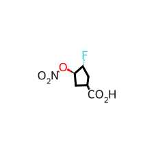 O=C(O)C1C[C@@H](F)[C@H](O[N+](=O)[O-])C1